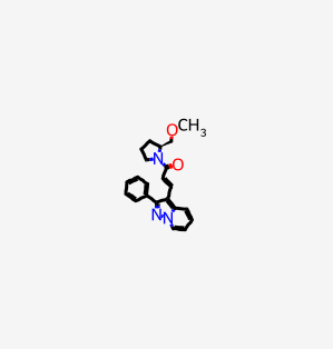 COC[C@@H]1CCCN1C(=O)C=Cc1c(-c2ccccc2)nn2ccccc12